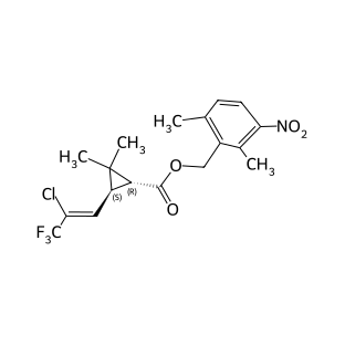 Cc1ccc([N+](=O)[O-])c(C)c1COC(=O)[C@@H]1[C@@H](C=C(Cl)C(F)(F)F)C1(C)C